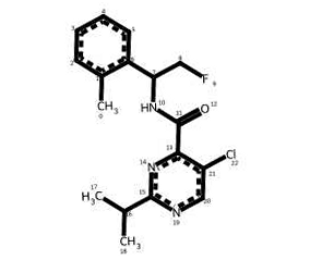 Cc1ccccc1C(CF)NC(=O)c1nc(C(C)C)ncc1Cl